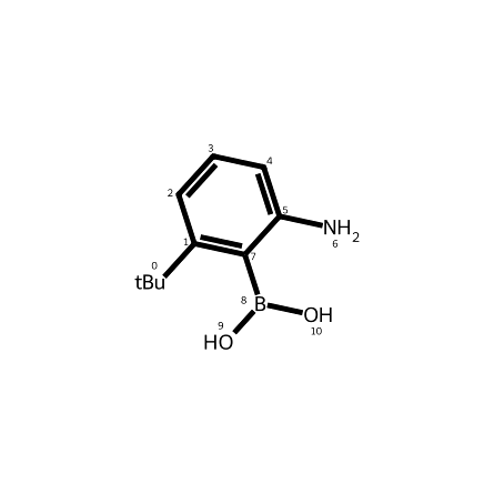 CC(C)(C)c1cccc(N)c1B(O)O